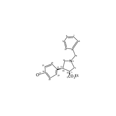 CCOC(=O)[C@@H]1CN(Cc2ccccc2)C[C@@H]1c1ccc(Cl)cc1